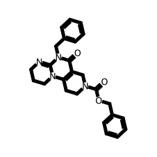 O=C(OCc1ccccc1)N1CCC2=C(C1)C(=O)N(Cc1ccccc1)C1=NCCCN12